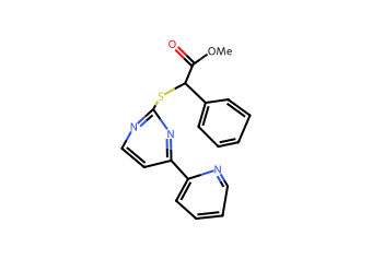 COC(=O)C(Sc1nccc(-c2ccccn2)n1)c1ccccc1